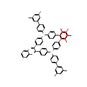 Cc1cc(C)cc(-c2ccc(N(c3ccc(-c4cc(C)cc(C)c4)cc3)c3ccc(-c4nc5ccccc5nc4-c4ccc(N(c5ccc(-c6cc(C)cc(C)c6)cc5)c5ccc(-c6cc(C)cc(C)c6)cc5)cc4)cc3)cc2)c1